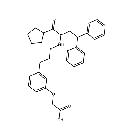 O=C(O)COc1cccc(CCCNC(CC(c2ccccc2)c2ccccc2)C(=O)C2CCCC2)c1